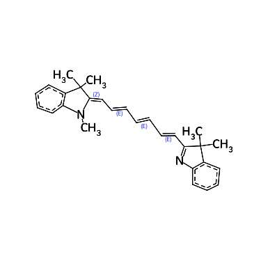 CN1\C(=C/C=C/C=C/C=C/C2=Nc3ccccc3C2(C)C)C(C)(C)c2ccccc21